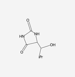 CC(C)C(O)C1NC(=O)NC1=O